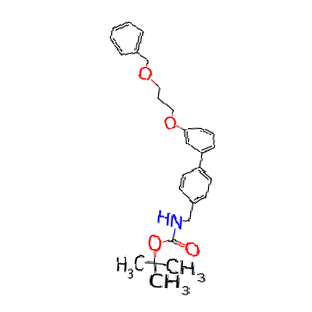 CC(C)(C)OC(=O)NCc1ccc(-c2cccc(OCCCOCc3ccccc3)c2)cc1